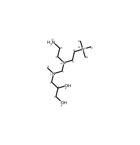 CN(CC(O)CO)CN(CCN)CC[N+](C)(C)C